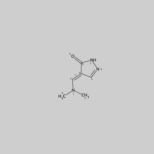 CN(C)/C=C1\C=NNC1=O